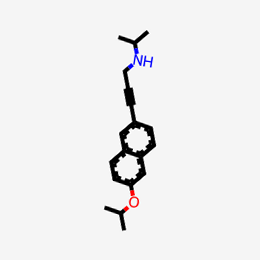 CC(C)NCC#Cc1ccc2cc(OC(C)C)ccc2c1